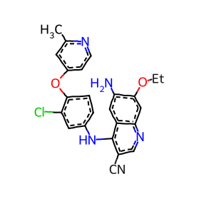 CCOc1cc2ncc(C#N)c(Nc3ccc(Oc4ccnc(C)c4)c(Cl)c3)c2cc1N